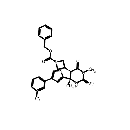 CN1C(=N)N[C@](C)(c2cc(-c3cccc(C#N)c3)cs2)[C@@H](C2CN(C(=O)OCc3ccccc3)C2)C1=O